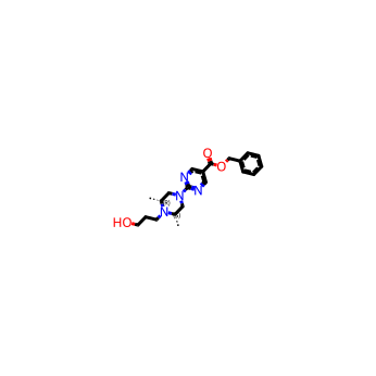 C[C@@H]1CN(c2ncc(C(=O)OCc3ccccc3)cn2)C[C@H](C)N1CCCO